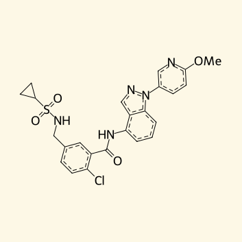 COc1ccc(-n2ncc3c(NC(=O)c4cc(CNS(=O)(=O)C5CC5)ccc4Cl)cccc32)cn1